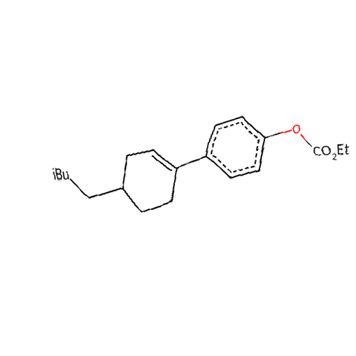 CCOC(=O)Oc1ccc(C2=CCC(CC(C)CC)CC2)cc1